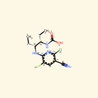 CC[C@H](NC(=O)O)[C@@H](CC)Nc1nc(Cl)c(C#N)cc1F